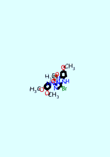 COc1ccc(Nc2nc(Nc3ccc(OC)c(OC)c3)ncc2Br)c(NS(C)(=O)=O)c1